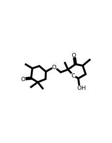 CC1CC(OCC2(C)CC(O)CC(C)C2=O)CC(C)(C)C1=O